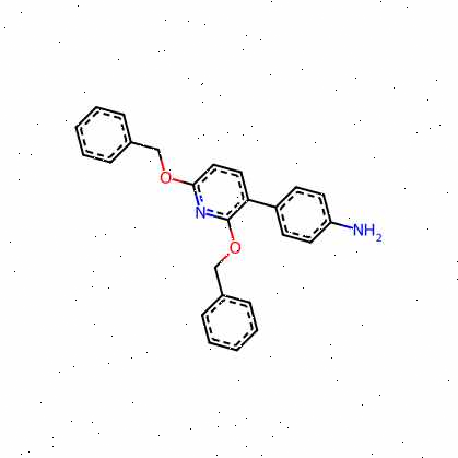 Nc1ccc(-c2ccc(OCc3ccccc3)nc2OCc2ccccc2)cc1